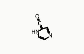 O=C=C1C=NC=CN1